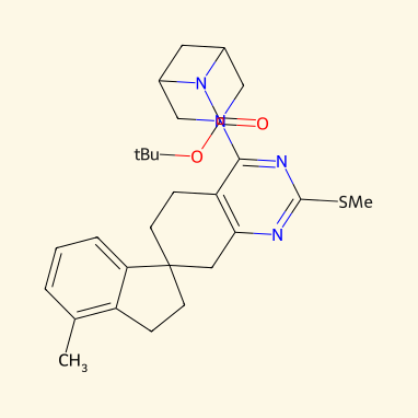 CSc1nc2c(c(N3CC4CC(C3)N4C(=O)OC(C)(C)C)n1)CCC1(CCc3c(C)cccc31)C2